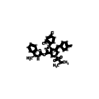 C[C@@H](NC(=O)Oc1nn(-c2ccc(Cl)cc2Cl)c2c1CN(S(=O)(=O)N(C)C)C/C2=C\c1ccc(F)cc1)c1ccccc1